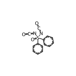 O=C=NS(=O)(N=C=O)(c1ccccc1)c1ccccc1